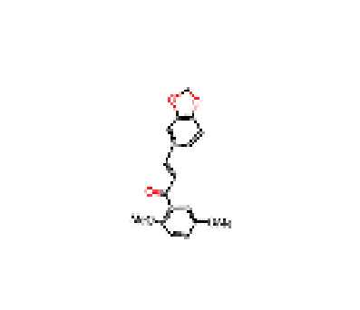 COc1ccc(OC)c(C(=O)/C=C/c2ccc3c(c2)OCO3)c1